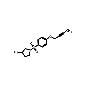 CC#CCOc1ccc(S(=O)(=O)N2CCC(S)C2)cc1